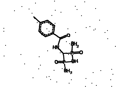 BP1(=O)BP(B)(=O)C1NC(=O)c1ccc(C)cc1